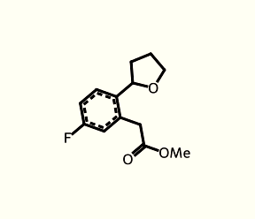 COC(=O)Cc1cc(F)ccc1C1CCCO1